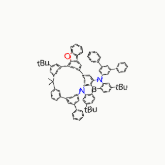 CC(C)(C)c1cc2cc(c1)C(C)(C)c1cccc(c1)-c1cc(-c3ccccc3)cc(c1)N1c3cc(C(C)(C)C)ccc3B3c4ccc(C(C)(C)C)cc4N(c4cc(-c5ccccc5)cc(-c5ccccc5)c4)c4cc(cc1c43)-c1cc-2c2oc3ccccc3c2c1